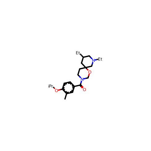 CCC1CN(CC)CC2(CCN(C(=O)c3ccc(OC(C)C)c(C)c3)CO2)C1